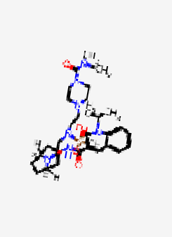 CC(C)n1c(=O)c(C(=O)N[C@@H]2C[C@H]3CC[C@@H](C2)N3CCN(CCN2CCN(C(=O)N(C)C)CC2)S(C)(=O)=O)cc2ccccc21